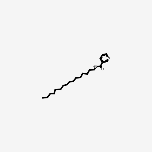 CCCCCCCCCCCCCCCCNC(=O)c1cccnc1